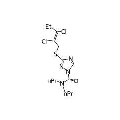 CCCN(CCC)C(=O)n1cnc(SCC(Cl)=C(Cl)CC)n1